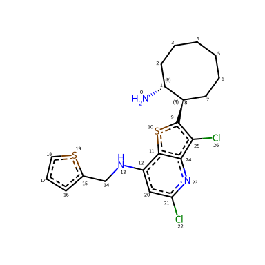 N[C@@H]1CCCCCC[C@H]1c1sc2c(NCc3cccs3)cc(Cl)nc2c1Cl